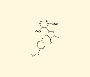 COc1cccc(OC)c1C1CC(F)C(=O)N1Cc1ccc(OC(F)(F)F)cc1